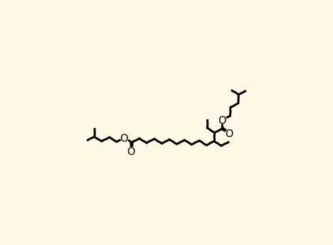 CCC(CCCCCCCCCCC(=O)OCCCC(C)C)C(CC)C(=O)OCCCC(C)C